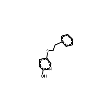 Oc1ccc(SCCc2ccccc2)cn1